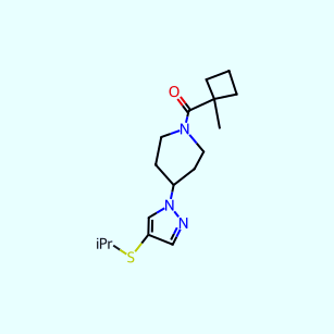 CC(C)Sc1cnn(C2CCN(C(=O)C3(C)CCC3)CC2)c1